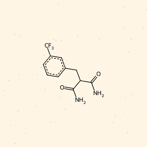 NC(=O)C(Cc1cccc(C(F)(F)F)c1)C(N)=O